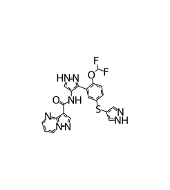 O=C(Nc1c[nH]nc1-c1cc(Sc2cn[nH]c2)ccc1OC(F)F)c1cnn2cccnc12